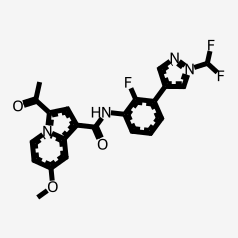 COc1ccn2c(C(C)=O)cc(C(=O)Nc3cccc(-c4cnn(C(F)F)c4)c3F)c2c1